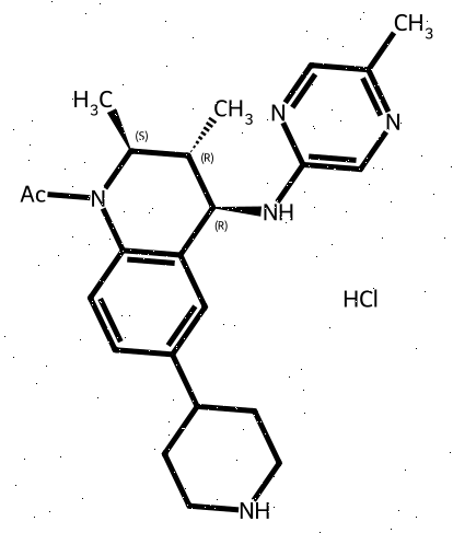 CC(=O)N1c2ccc(C3CCNCC3)cc2[C@H](Nc2cnc(C)cn2)[C@@H](C)[C@@H]1C.Cl